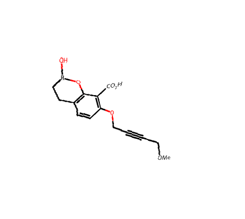 COCC#CCOc1ccc2c(c1C(=O)O)OB(O)CC2